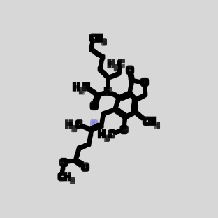 CCCCC(CC)N(C(N)=O)c1c(C/C=C(\C)CCC(=O)OC)c(OC)c(C)c2c1C(=O)OC2